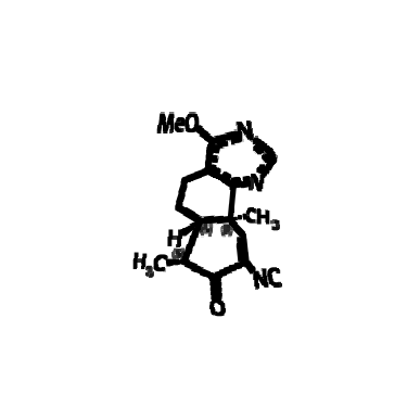 [C-]#[N+]C1=C[C@]2(C)c3ncnc(OC)c3CC[C@H]2[C@H](C)C1=O